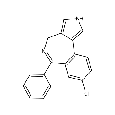 Clc1ccc2c(c1)C(c1ccccc1)=NCc1c[nH]cc1-2